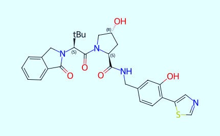 CC(C)(C)[C@@H](C(=O)N1C[C@H](O)C[C@H]1C(=O)NCc1ccc(-c2cncs2)c(O)c1)N1Cc2ccccc2C1=O